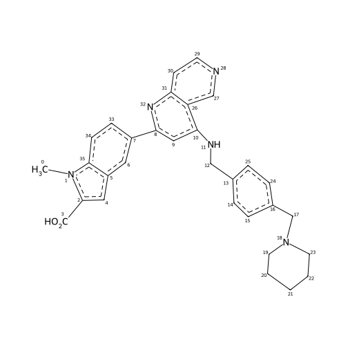 Cn1c(C(=O)O)cc2cc(-c3cc(NCc4ccc(CN5CCCCC5)cc4)c4cnccc4n3)ccc21